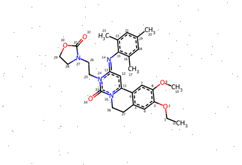 CCOc1cc2c(cc1OC)-c1c/c(=N\c3c(C)cc(C)cc3C)n(CCN3CCOC3=O)c(=O)n1CC2